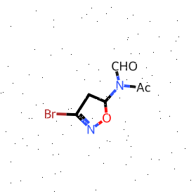 CC(=O)N(C=O)C1CC(Br)=NO1